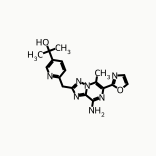 Cc1c(-c2ncco2)nc(N)c2nc(Cc3ccc(C(C)(C)O)cn3)nn12